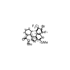 CSc1nc2c(F)c(Br)c(C(F)(F)F)cc2c2c1nnn2C1CCCCN1C(=O)OC(C)(C)C